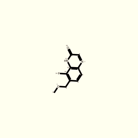 COCc1ccc2ncc(=O)[nH]c2c1F